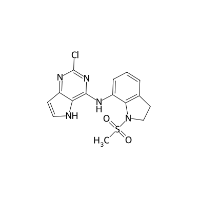 CS(=O)(=O)N1CCc2cccc(Nc3nc(Cl)nc4cc[nH]c34)c21